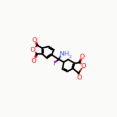 NC(I)(c1ccc2c(c1)C(=O)OC2=O)C1C=CC2=C(C1)C(=O)OC2=O